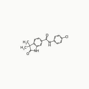 CC1(C)C(=O)Nc2cc(C(=O)Nc3ccc(Cl)cc3)ccc21